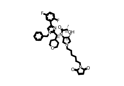 C[C@H](O)C(=O)N(C1CN(CCCCCCN2C(=O)C=CC2=O)C[C@@H]1F)[C@@H](c1nc(-c2cc(F)ccc2F)cn1Cc1ccccc1)C1CCOCC1